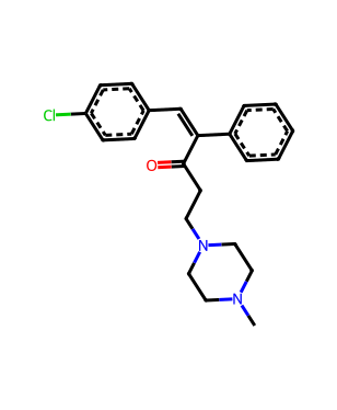 CN1CCN(CCC(=O)/C(=C\c2ccc(Cl)cc2)c2ccccc2)CC1